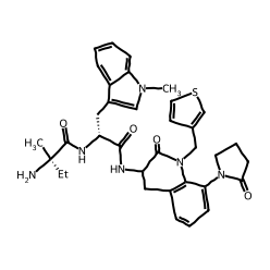 CC[C@@](C)(N)C(=O)N[C@H](Cc1cn(C)c2ccccc12)C(=O)NC1Cc2cccc(N3CCCC3=O)c2N(Cc2ccsc2)C1=O